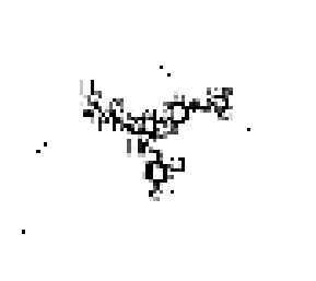 CCNC(=O)Nc1cc2c(NCc3ccc(Cl)cc3Cl)nc(N3CCC(CCN4CCCC4)CC3)nc2s1